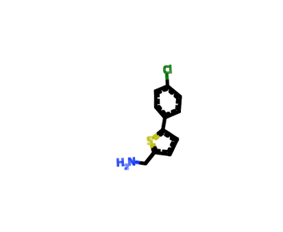 NCc1ccc(-c2ccc(Cl)cc2)s1